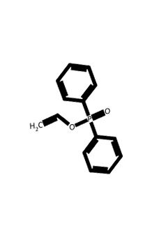 C=COP(=O)(c1ccccc1)c1ccccc1